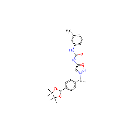 C[C@H](c1ccc(B2OC(C)(C)C(C)(C)O2)cc1)[n+]1cc([N-]C(=O)Nc2cccc(C(F)(F)F)c2)on1